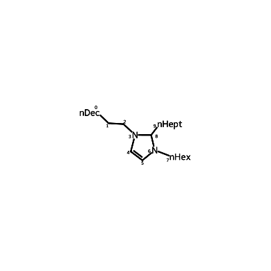 CCCCCCCCCCCCN1C=CN(CCCCCC)C1CCCCCCC